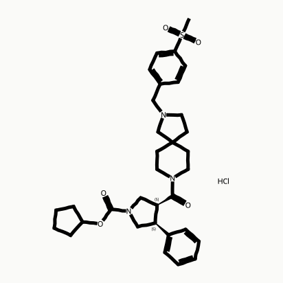 CS(=O)(=O)c1ccc(CN2CCC3(CCN(C(=O)[C@@H]4CN(C(=O)OC5CCCC5)C[C@@H]4c4ccccc4)CC3)C2)cc1.Cl